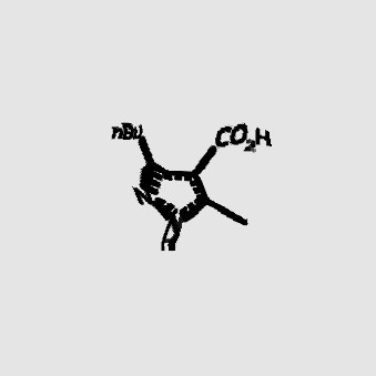 CCCCc1n[nH]c(C)c1C(=O)O